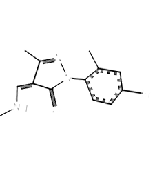 CN/C=C1\C(=O)N(c2ccc(Br)cc2C)N=C1C